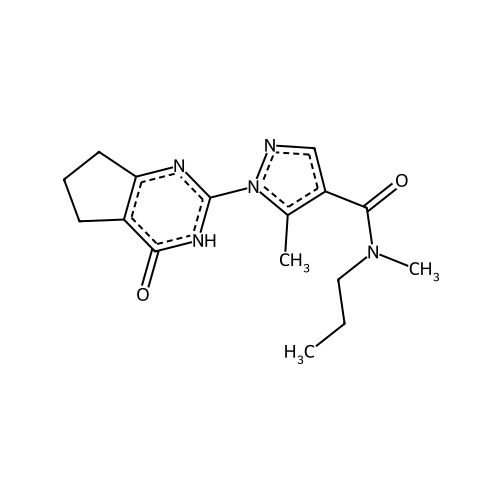 CCCN(C)C(=O)c1cnn(-c2nc3c(c(=O)[nH]2)CCC3)c1C